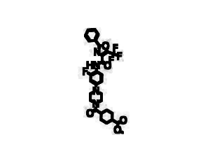 COC(=O)C1CCC(C(=O)N2CCN(c3ccc(NC(=O)c4nc(-c5ccccc5)oc4C(F)(F)F)c(F)c3)CC2)CC1